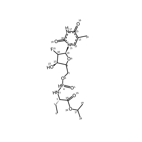 CC[C@H](N[PH](=O)OCC1O[C@H](n2cc(C)c(=O)[nH]c2=O)C(F)[C@@H]1O)C(=O)OC(C)C